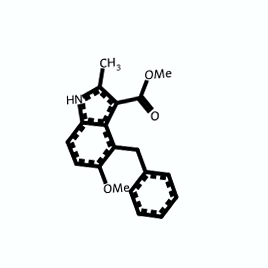 COC(=O)c1c(C)[nH]c2ccc(OC)c(Cc3ccccc3)c12